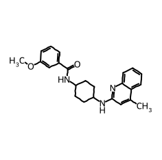 COc1cccc(C(=O)NC2CCC(Nc3cc(C)c4ccccc4n3)CC2)c1